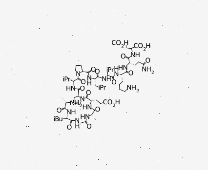 CC[C@H](C)[C@H](NC(=O)[C@H](C)N)C(=O)N[C@@H](C)C(=O)N[C@@H](C)C(=O)N[C@@H](CCC(=O)O)C(=O)N1CCC[C@H]1C(=O)N[C@H](C(=O)N1CCC[C@H]1C(=O)N[C@@H](CC(C)C)C(=O)N[C@H](C(=O)N[C@@H](CCCCN)C(=O)N[C@@H](CCC(N)=O)C(=O)N[C@@H](CC(=O)O)C(=O)O)C(C)C)C(C)C